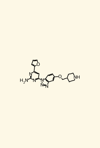 Nc1nc(-c2ccco2)cc(-n2nnc3cc(OCC4CCNCC4)ccc32)n1